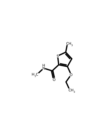 CCOc1cc(C)sc1C(=O)NC